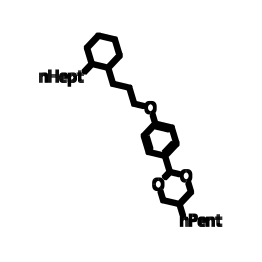 CCCCCCCC1CCCCC1CCCOc1ccc(C2OCC(CCCCC)CO2)cc1